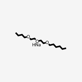 CCCCCCOCCOCCOCCCC.[NaH]